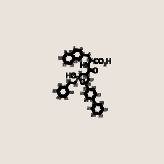 O=C(N[C@@H](Cc1ccc2ccccc2c1)C(=O)O)[C@@H](CCc1ccc(-c2ccccc2)cc1)CP(=O)(O)CCc1ccccc1